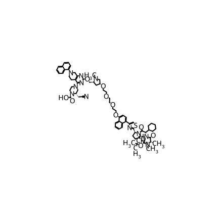 C[C@@H](C(=O)N[C@H](C(=O)N1CCC[C@H]1c1nc(-c2ccc(OCCOCCOCCO[C@@H]3C[C@@H](COc4nc5c(c(N6CCN(C(=O)O)[C@@H](CC#N)C6)n4)CCN(c4cccc6ccccc46)C5)N(C)C3)c3ccccc23)cs1)C1CCCCC1)N(C)C(=O)OC(C)(C)C